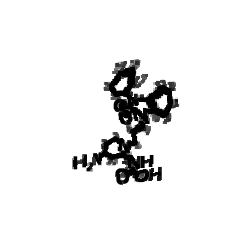 NC1CCN(CCCN2c3ccccc3N(c3ccccc3)S2(=O)=O)C(NC(=O)O)C1